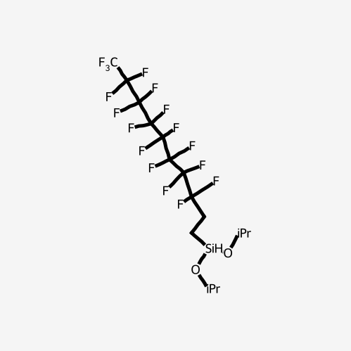 CC(C)O[SiH](CCC(F)(F)C(F)(F)C(F)(F)C(F)(F)C(F)(F)C(F)(F)C(F)(F)C(F)(F)F)OC(C)C